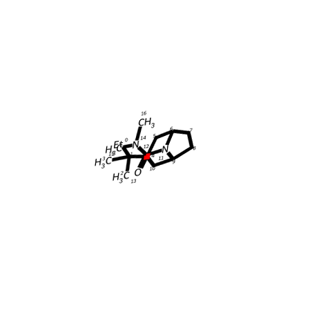 CCC(C)(C)C1CC2CCC(C1)N2C(=O)N(C)C